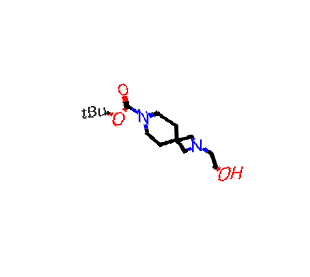 CC(C)(C)OC(=O)N1CCC2(CC1)CN(CCO)C2